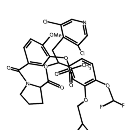 COc1ccc(C(=O)N2CCCC2C(=O)OC(Cc2c(Cl)cncc2Cl)c2ccc(OC(F)F)c(OCC3CC3)c2)cc1OS(C)(=O)=O